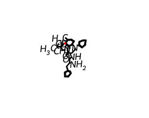 Cc1ccc2c(c1)N(CC(=O)C(C)(C)C)C(=O)C(NC(=O)C(N)Cc1ccccc1)CN2c1ccccc1